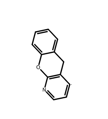 [c]1ccnc2c1Cc1ccccc1O2